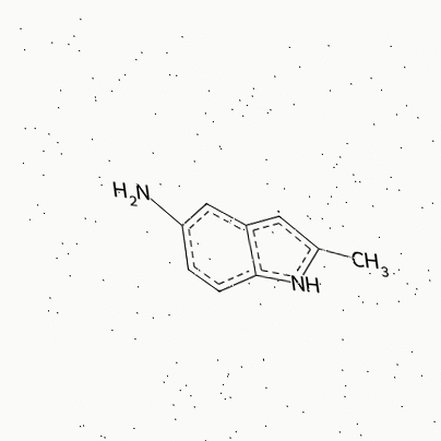 Cc1[c]c2cc(N)ccc2[nH]1